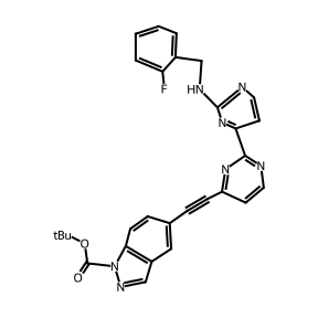 CC(C)(C)OC(=O)n1ncc2cc(C#Cc3ccnc(-c4ccnc(NCc5ccccc5F)n4)n3)ccc21